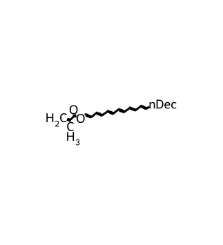 C=C(C)C(=O)OC=CC=CC=CC=CC=CC=CCCCCCCCCCC